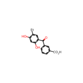 CCc1cc(C(=O)c2cccc(C(=O)O)c2)c(O)cc1O